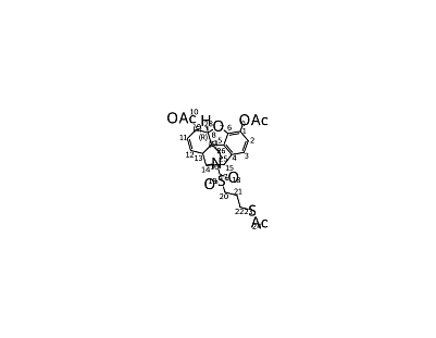 CC(=O)Oc1ccc2c3c1O[C@H]1[C@@H](OC(C)=O)C=CC4C(C2)N(S(=O)(=O)CCCSC(C)=O)CC[C@@]341